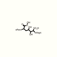 CCCCCCCC(C(O)C(O)CC(CCCCC)C(=O)OO)S(=O)(=O)O